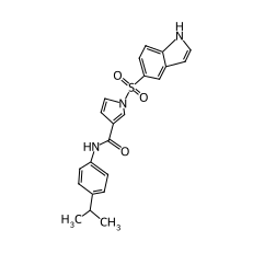 CC(C)c1ccc(NC(=O)c2ccn(S(=O)(=O)c3ccc4[nH]ccc4c3)c2)cc1